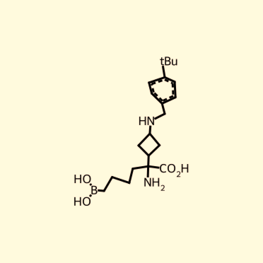 CC(C)(C)c1ccc(CNC2CC(C(N)(CCCCB(O)O)C(=O)O)C2)cc1